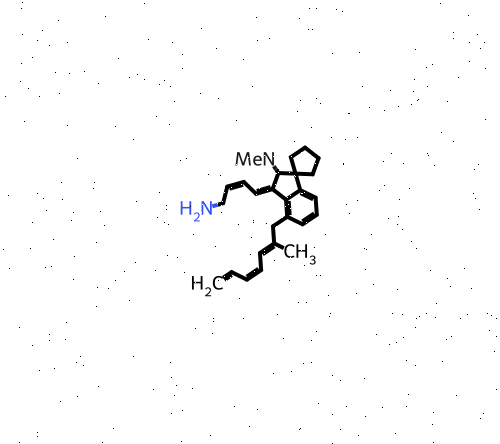 C=C/C=C\C=C(/C)Cc1cccc2c1/C(=C/C=C\CN)C(NC)C21CCCC1